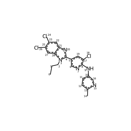 CCCn1c(-c2cnc(Nc3ccc(C)nc3)c(Cl)c2)nc2cc(Cl)c(Cl)cc21